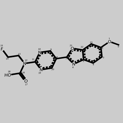 COc1ccc2nc(-c3cnc(N(CCF)C(=O)O)nc3)oc2c1